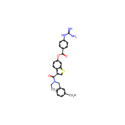 N=C(N)Nc1ccc(C(=O)Oc2ccc3c(C(=O)N(CC(=O)O)Cc4cccc(C(=O)O)c4)csc3c2)cc1